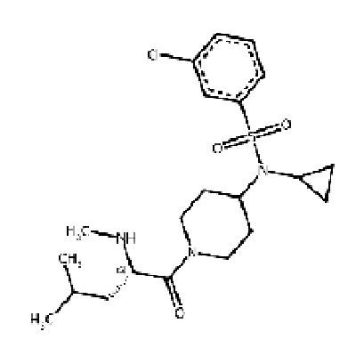 CN[C@@H](CC(C)C)C(=O)N1CCC(N(C2CC2)S(=O)(=O)c2cccc(Cl)c2)CC1